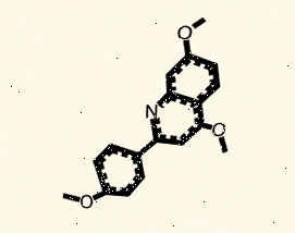 COc1ccc(-c2cc(OC)c3ccc(OC)cc3n2)cc1